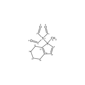 C[C]1([Ti]([CH]=O)([CH]=O)[CH]=O)C=CC2=C1CCCC2